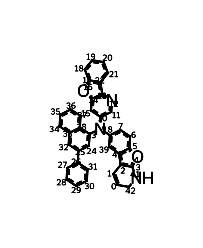 C1=Cc2c(oc3ccc(N(c4cnc5c(c4)oc4ccccc45)c4cc(-c5ccccc5)cc5ccccc45)cc23)NC1